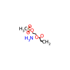 C=CC(=O)OCCOS(C)(=O)=O.N